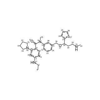 CCNc1ncc(C(=O)N(C)c2cccc(COC(CCNC)c3cccs3)c2)c(N2CCCC2)n1